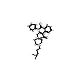 CN(C)CCCN1CCN(Cc2c(C(=O)O)c3ccccc3c(=O)n2-c2ccccc2)CC1